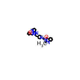 Cc1nc2ccccc2c(=O)n1CCN1CCC(Cc2nc3cccnc3n2Cc2ccco2)CC1